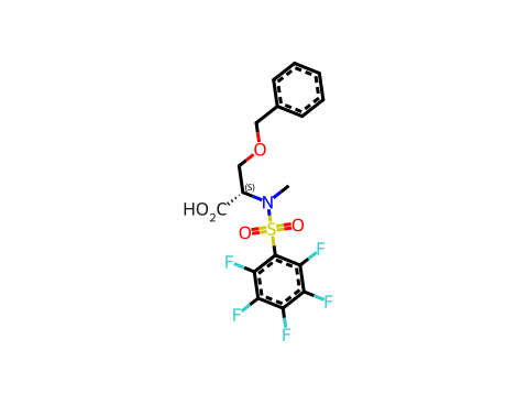 CN([C@@H](COCc1ccccc1)C(=O)O)S(=O)(=O)c1c(F)c(F)c(F)c(F)c1F